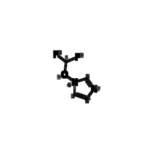 FC(F)On1c[c]nc1